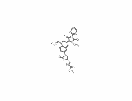 CCN(CCn1c(=O)n(-c2ncccn2)c(=O)n1C)c1ccc(N2C[C@H](CNC(C)=O)OC2=O)cc1F